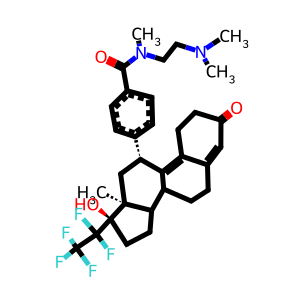 CN(C)CCN(C)C(=O)c1ccc([C@H]2C[C@@]3(C)C(CC[C@]3(O)C(F)(F)C(F)(F)F)C3CCC4=CC(=O)CCC4=C32)cc1